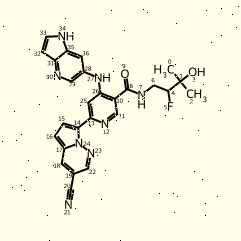 CC(C)(O)C(F)CNC(=O)c1cnc(-c2ccc3cc(C#N)cnn23)cc1Nc1cnc2cc[nH]c2c1